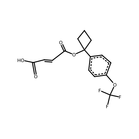 O=C(O)/C=C/C(=O)OC1(c2ccc(OC(F)(F)F)cc2)CCC1